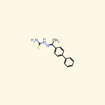 [CH2]C(=NNC(N)=S)c1ccc(-c2ccccc2)cc1